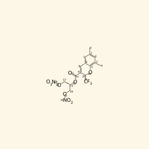 Cc1cc(C)c2c(c1)C=C(C(=O)OC(CO[N+](=O)[O-])CO[N+](=O)[O-])C(C(F)(F)F)O2